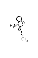 COCCO[C@H]1COc2ccccc2[C@@H]1N